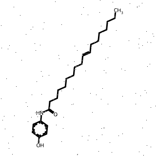 CCCCCCCC=CCCCCCCCCC(=O)Nc1ccc(O)cc1